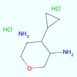 Cl.Cl.N.NC1COCCC1C1CC1